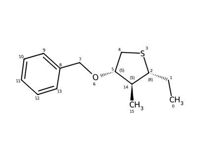 CC[C@H]1SC[C@@H](OCc2ccccc2)[C@@H]1C